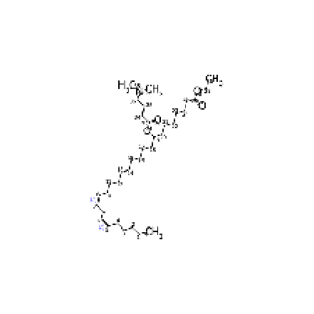 CCCCC/C=C\C/C=C\CCCCCCCCCC(CCCCCCC(=O)OCC)OC(=O)CCCN(C)C